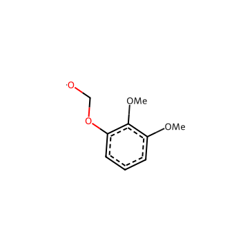 COc1cccc(OC[O])c1OC